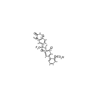 CC(c1ccc(-c2ccccc2OC(=O)O)cc1Cl)C(O)(c1ccc2c(c1)N(C)C(=O)CO2)C(F)(F)F